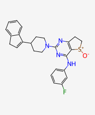 [O-][S+]1CCc2nc(N3CCC(C4=CCc5ccccc54)CC3)nc(Nc3cccc(F)c3)c21